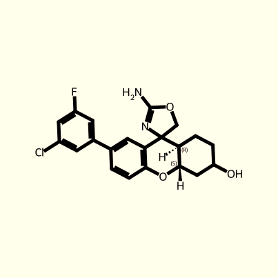 NC1=NC2(CO1)c1cc(-c3cc(F)cc(Cl)c3)ccc1O[C@H]1CC(O)CC[C@@H]12